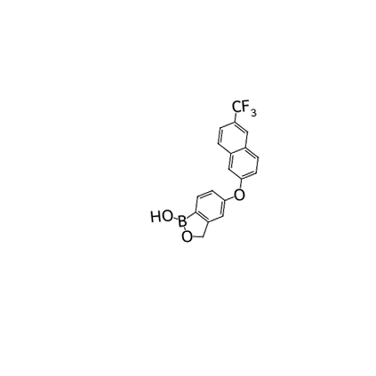 OB1OCc2cc(Oc3ccc4cc(C(F)(F)F)ccc4c3)ccc21